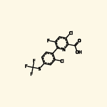 O=C(O)c1nc(-c2ccc(SC(F)(F)F)cc2Cl)c(F)cc1Cl